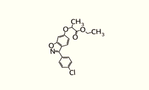 CCOC(=O)C(C)Oc1ccc2c(-c3ccc(Cl)cc3)noc2c1